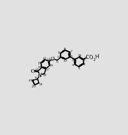 O=C(O)c1cccc(-c2cccc(COc3ccc4c(c3)CN(C3CCC3)C4=O)c2)c1